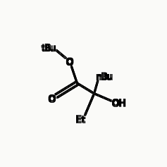 CCCCC(O)(CC)C(=O)OC(C)(C)C